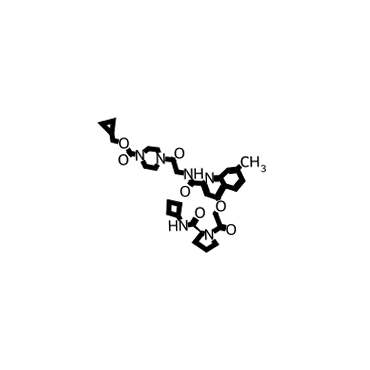 Cc1ccc2c(OCC(=O)N3CCC[C@H]3C(=O)NC3CCC3)cc(C(=O)NCC(=O)N3CCN(C(=O)OCC4CC4)CC3)nc2c1